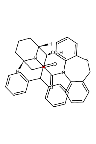 O=C(O)[C@@H]1[C@H]2CCC[C@@H](CN1C(=O)N1c3ccccc3CSc3ccccc31)N2C(=O)C(c1ccccc1)c1ccccc1